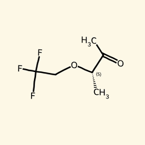 CC(=O)[C@H](C)OCC(F)(F)F